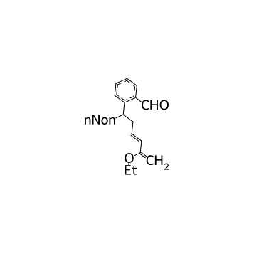 C=C(C=CCC(CCCCCCCCC)c1ccccc1C=O)OCC